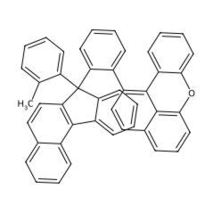 Cc1ccccc1C1(c2ccccc2-c2ccc3cccc4c3c2-c2ccccc2O4)c2ccccc2-c2c1ccc1ccccc21